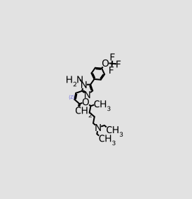 C=C(/C=C\c1ncc(-c2ccc(OC(F)(F)F)cc2)n1N)OC(C)CCCN(CC)CC